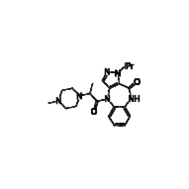 CC(C(=O)N1c2ccccc2NC(=O)c2c1cnn2C(C)C)N1CCN(C)CC1